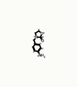 Nc1ccc(CN2CCOC2=O)cc1